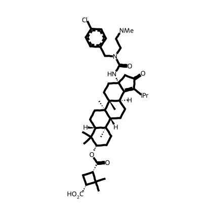 CNCCN(Cc1ccc(Cl)cc1)C(=O)N[C@@]12CC[C@]3(C)[C@H](CC[C@@H]4[C@@]5(C)CC[C@H](OC(=O)[C@H]6C[C@@H](C(=O)O)C6(C)C)C(C)(C)[C@@H]5CC[C@]43C)C1=C(C(C)C)C(=O)C2